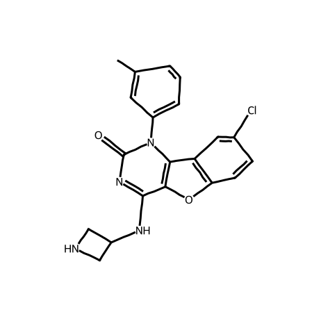 Cc1cccc(-n2c(=O)nc(NC3CNC3)c3oc4ccc(Cl)cc4c32)c1